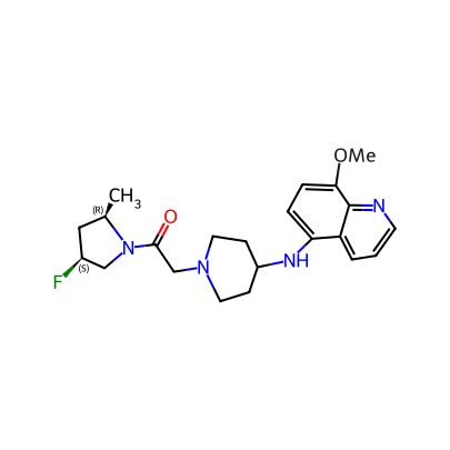 COc1ccc(NC2CCN(CC(=O)N3C[C@@H](F)C[C@H]3C)CC2)c2cccnc12